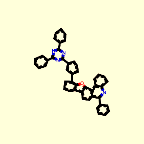 c1ccc(-c2nc(-c3ccccc3)nc(-c3cccc(-c4cccc5c4oc4c5ccc5c(-c6ccccc6)nc6ccccc6c54)c3)n2)cc1